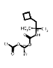 CCC(=O)O[C@@H](OC(=O)N[C@@](C)(CC1CCC1)C(=O)O)C(C)C